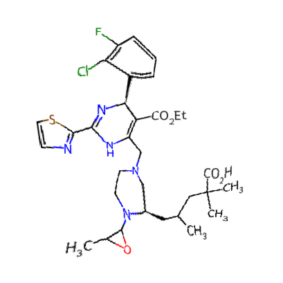 CCOC(=O)C1=C(CN2CCN(C3OC3C)[C@H](CC(C)CC(C)(C)C(=O)O)C2)NC(c2nccs2)=N[C@H]1c1cccc(F)c1Cl